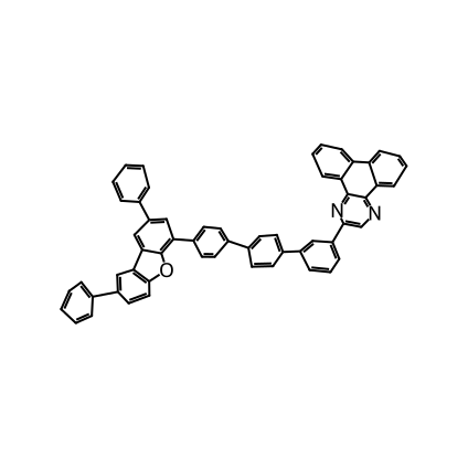 c1ccc(-c2ccc3oc4c(-c5ccc(-c6ccc(-c7cccc(-c8cnc9c%10ccccc%10c%10ccccc%10c9n8)c7)cc6)cc5)cc(-c5ccccc5)cc4c3c2)cc1